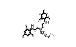 Cc1cc(C)c(NCCN(C)CCNc2c(C)cc(C)cc2C)c(C)c1.[Ag+2].[Cl-].[Cl-]